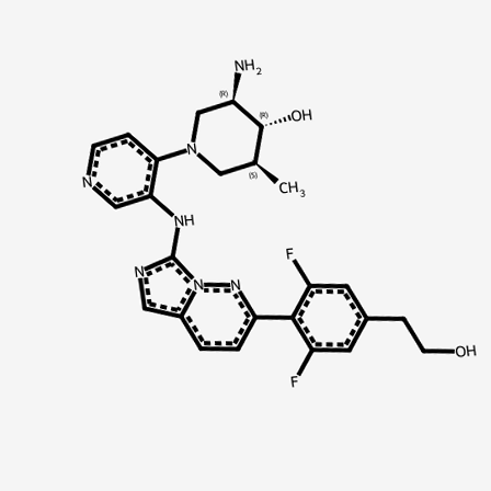 C[C@H]1CN(c2ccncc2Nc2ncc3ccc(-c4c(F)cc(CCO)cc4F)nn23)C[C@@H](N)[C@@H]1O